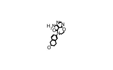 Nc1ncnc2c1C(=O)N(c1ccc3c(c1)CCC(=O)C3)CCO2